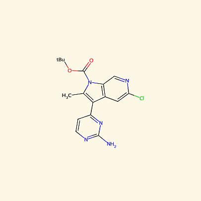 Cc1c(-c2ccnc(N)n2)c2cc(Cl)ncc2n1C(=O)OC(C)(C)C